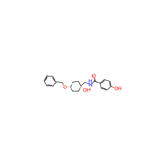 O=C(NC[C@]1(O)CC[C@@H](OCc2ccccc2)CC1)c1ccc(O)cc1